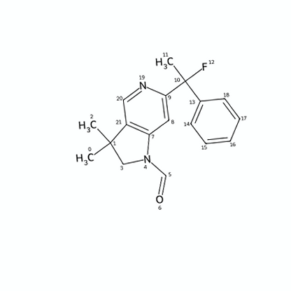 CC1(C)CN(C=O)c2cc(C(C)(F)c3ccccc3)ncc21